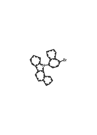 Brc1ccc(-n2c3ccccc3c3ccc4ccccc4c32)c2ccccc12